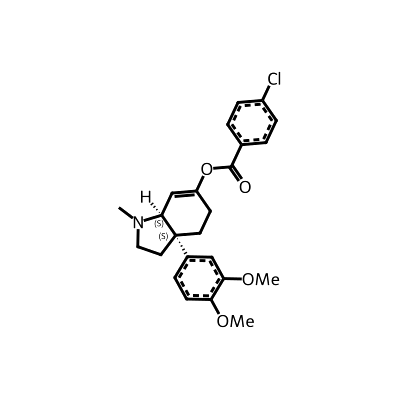 COc1ccc([C@@]23CCC(OC(=O)c4ccc(Cl)cc4)=C[C@@H]2N(C)CC3)cc1OC